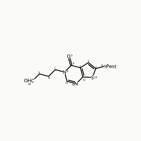 CCCCCc1cc2c(=O)n(CCCC=O)cnc2s1